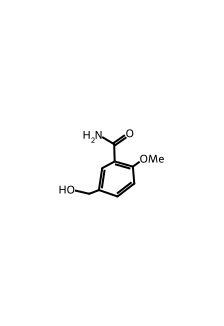 COc1ccc(CO)cc1C(N)=O